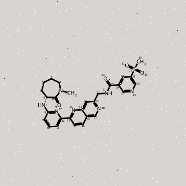 CN1CCCC[C@@H](Nc2cccc(-c3ccc4cnc(CNC(=O)c5cncc(S(C)(=O)=O)c5)cc4n3)n2)C1=O